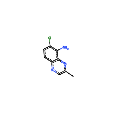 Cc1cnc2ccc(Cl)c(N)c2n1